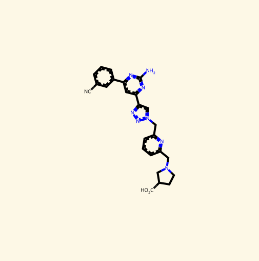 N#Cc1cccc(-c2cc(-c3cn(Cc4cccc(CN5CCC(C(=O)O)C5)n4)nn3)nc(N)n2)c1